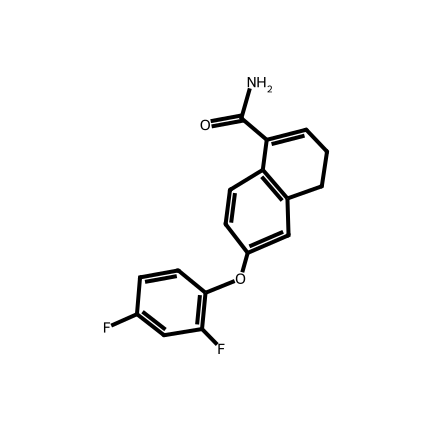 NC(=O)C1=CCCc2cc(Oc3ccc(F)cc3F)ccc21